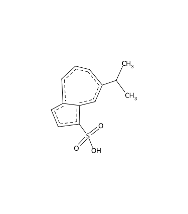 CC(C)c1cccc2ccc(S(=O)(=O)O)c-2c1